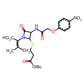 CC(C)=C(C(=O)O)N1C(=O)C(NC(=O)COc2ccc([N+](=O)[O-])cc2)C1SCCC(=O)OCC(C)C